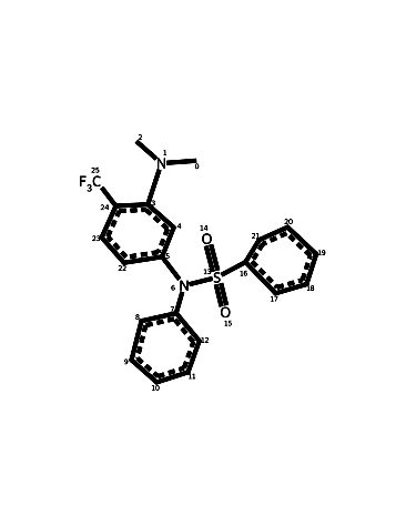 CN(C)c1cc(N(c2ccccc2)S(=O)(=O)c2ccccc2)ccc1C(F)(F)F